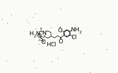 COc1cc(N)c(Cl)cc1C(=O)CCC1CCN(C(C)N)C(S(C)(=O)=O)C1.Cl